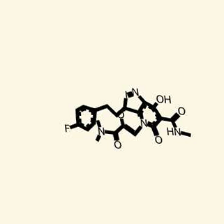 CNC(=O)c1c(O)c2c3n(c1=O)C=C(C(=O)N(C)C)OC3(CCc1ccc(F)cc1)I=N2